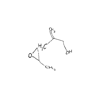 C=C(C)CO.CC1CO1